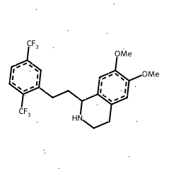 COc1cc2c(cc1OC)C(CCc1cc(C(F)(F)F)ccc1C(F)(F)F)NCC2